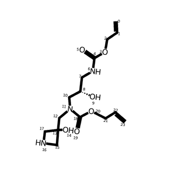 C=CCOC(=O)NC[C@H](O)CN(CC1(O)CNC1)C(=O)OCC=C